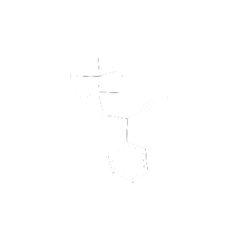 C#CC(O[Si](C)(C)C(C)(C)C)c1ccccc1